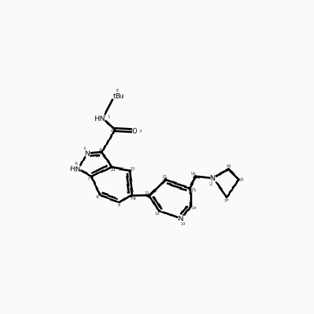 CC(C)(C)NC(=O)c1n[nH]c2ccc(-c3cncc(CN4CCC4)c3)cc12